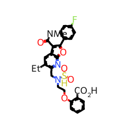 CCc1cc2c(C(=O)NC)c(-c3ccc(F)cc3)oc2nc1CN(CCOc1ccccc1C(=O)O)[SH](=O)=O